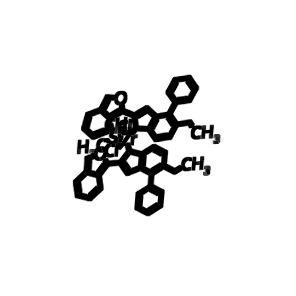 CCc1ccc2c(c1-c1ccccc1)C=C(c1occ3ccccc13)[CH]2[Zr]([Cl])([Cl])([CH]1C(c2occ3ccccc23)=Cc2c1ccc(CC)c2-c1ccccc1)=[Si](C)C